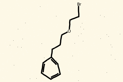 BrCCOCCCc1ccccc1